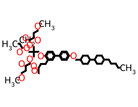 C=C(C)C(=O)OCC(COC(=O)C(=O)CCOC)(COC(=O)C(=O)CCOC)COc1ccc(-c2ccc(OCC3CCC(C4CCC(CCCCC)CC4)CC3)cc2)cc1CCC1CO1